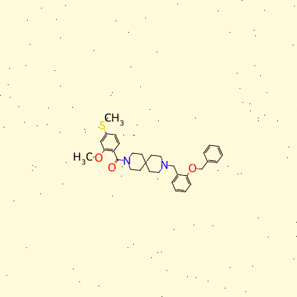 COc1cc(SC)ccc1C(=O)N1CCC2(CCN(Cc3ccccc3OCc3ccccc3)CC2)CC1